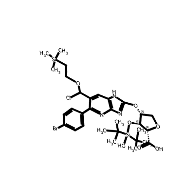 CC(C)(C)[Si](O)(O[C@@H]1[C@@H](C(=O)O)OC[C@H]1Oc1nc2nc(-c3ccc(Br)cc3)c(C(Cl)OCC[Si](C)(C)C)cc2[nH]1)C(C)(C)C